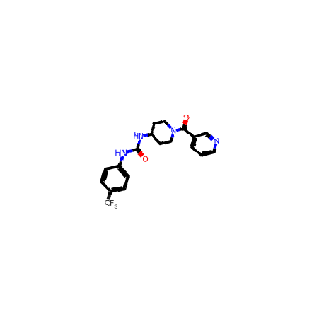 O=C(Nc1ccc(C(F)(F)F)cc1)NC1CCN(C(=O)c2cccnc2)CC1